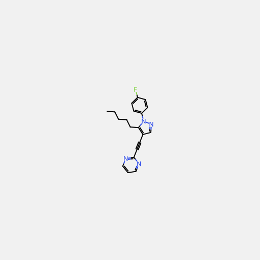 CCCCCc1c(C#Cc2ncccn2)cnn1-c1ccc(F)cc1